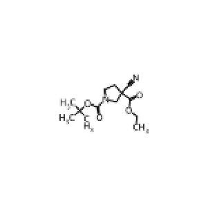 CCOC(=O)C1(C#N)CCN(C(=O)OC(C)(C)C)C1